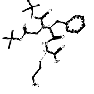 CC(C)(C)OC(=O)CN(C(=O)OC(C)(C)C)[C@@H](Cc1ccccc1)C(=O)N[C@@H](CCCN)C(=O)O